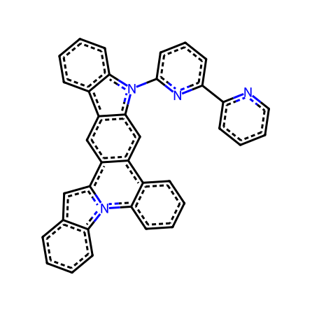 c1ccc(-c2cccc(-n3c4ccccc4c4cc5c(cc43)c3ccccc3n3c4ccccc4cc53)n2)nc1